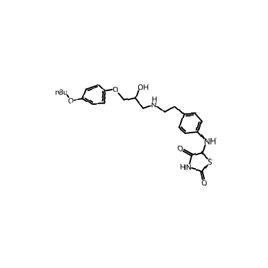 CCCCOc1ccc(OCC(O)CNCCc2ccc(NC3SC(=O)NC3=O)cc2)cc1